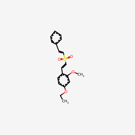 CCOc1ccc(C=CS(=O)(=O)C=Cc2ccccc2)c(OC)c1